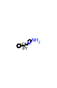 CC(C)C(C#N)(CCCN1CCC(N)C1)c1ccccc1